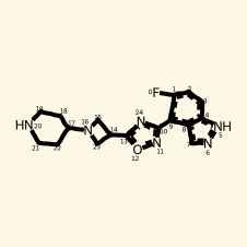 Fc1ccc2[nH]ncc2c1-c1noc(C2CN(C3CCNCC3)C2)n1